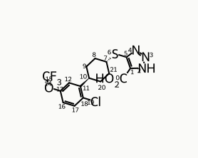 O=C(O)c1[nH]nnc1S[C@H]1CC[C@H](c2cc(OC(F)(F)F)ccc2Cl)CC1